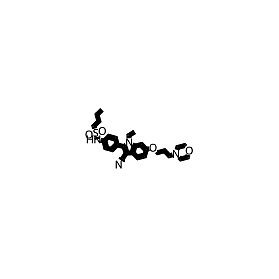 CCCCS(=O)(=O)Nc1ccc(-c2c(C#N)c3ccc(OCCCN4CCOCC4)cc3n2CC)cc1